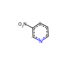 O=[N+]([O-])c1[c]ccn[c]1